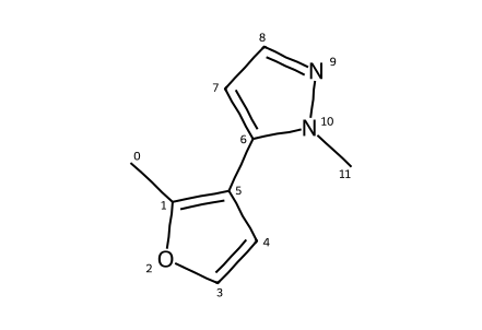 Cc1occc1-c1ccnn1C